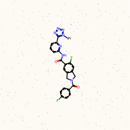 CC(C)n1nnnc1-c1cccc(NC(=O)c2cc3c(cc2F)CN(C(=O)c2ccc(F)cc2)C3)n1